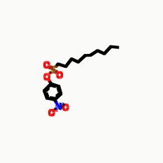 CCCCCCCCCCS(=O)(=O)Oc1ccc([N+](=O)[O-])cc1